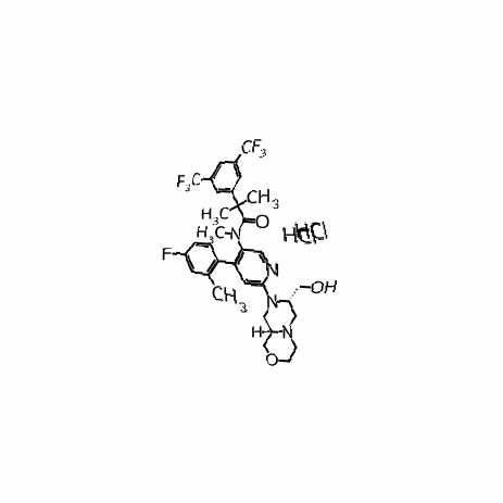 Cc1cc(F)ccc1-c1cc(N2C[C@H]3COCCN3C[C@H]2CO)ncc1N(C)C(=O)C(C)(C)c1cc(C(F)(F)F)cc(C(F)(F)F)c1.Cl.Cl